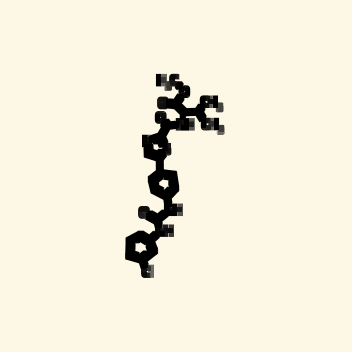 COC(=O)[C@@H](NC(=O)c1ncc(-c2ccc(NC(=O)Nc3cccc(Cl)c3)cc2)s1)C(C)C